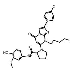 CCCCCn1c(N2CCC[C@H]2C(=O)Nc2ccc(O)c(OC)c2)cc(=O)n2cc(-c3ccc(Cl)cc3)nc12